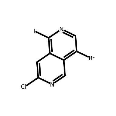 Clc1cc2c(I)ncc(Br)c2cn1